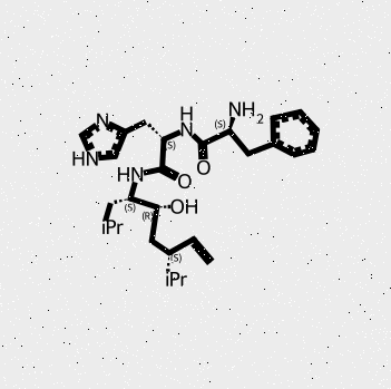 C=C[C@@H](C[C@@H](O)[C@H](CC(C)C)NC(=O)[C@H](Cc1c[nH]cn1)NC(=O)[C@@H](N)Cc1ccccc1)C(C)C